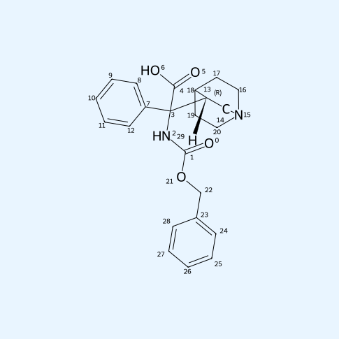 O=C(NC(C(=O)O)(c1ccccc1)[C@H]1CN2CCC1CC2)OCc1ccccc1